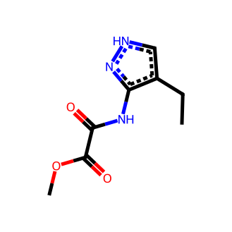 CCc1c[nH]nc1NC(=O)C(=O)OC